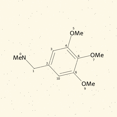 CNCc1cc(OC)c(OC)c(OC)c1